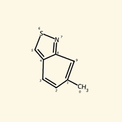 Cc1ccc2csnc2c1